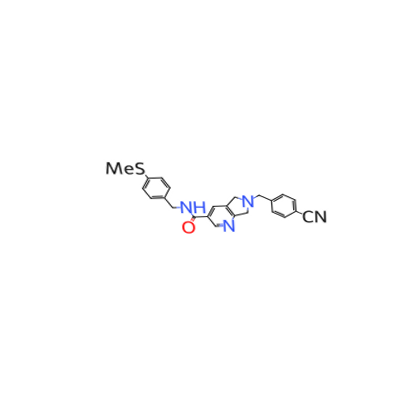 CSc1ccc(CNC(=O)c2cnc3c(c2)CN(Cc2ccc(C#N)cc2)C3)cc1